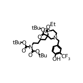 CCOP1(=O)CCN(Cc2ccc(O)c(C(F)(F)F)c2)CC1(CCCCN(C(=O)OC(C)(C)C)C(=O)OC(C)(C)C)C(=O)OC(C)(C)C